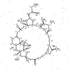 C=C1CC2CCC(=O)C[C@H]3O[C@H]4[C@@H](O)[C@H]5CC(CC(=O)C[C@H]6C(C[C@H]7O[C@@H](CC[C@@H]1O2)C[C@@H](C)C7=C)O[C@H](C[C@H](O)CO)[C@@H]6C)OC[C@@H]5O[C@H]4[C@H]3O